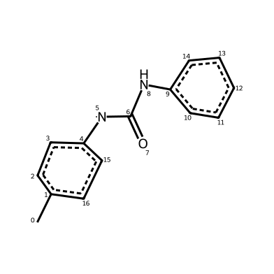 Cc1ccc([N]C(=O)Nc2ccccc2)cc1